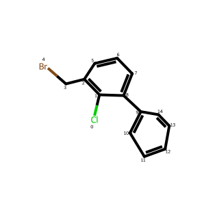 Clc1c(CBr)cccc1-c1ccccc1